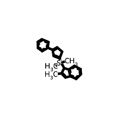 CC1=Cc2ccccc2C1[Si](C)(C)C1=CC(c2ccccc2)=CC1